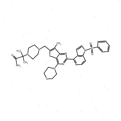 Cc1c(CN2CCN(C(C)(C)C(N)=O)CC2)sc2c(N3CCOCC3)nc(-c3nccc4c3ccn4S(=O)(=O)c3ccccc3)nc12